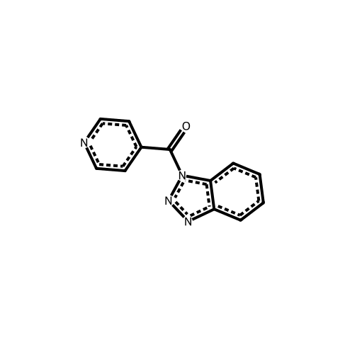 O=C(c1ccncc1)n1nnc2ccccc21